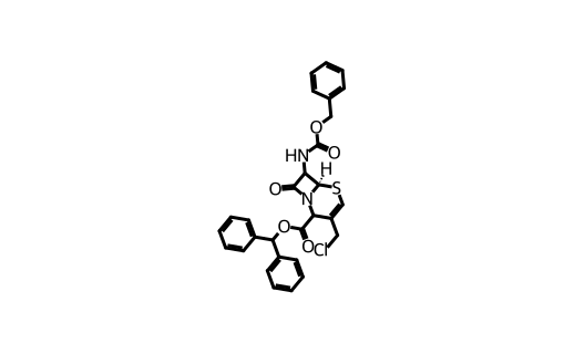 O=C(NC1C(=O)N2C(C(=O)OC(c3ccccc3)c3ccccc3)C(CCl)=CS[C@H]12)OCc1ccccc1